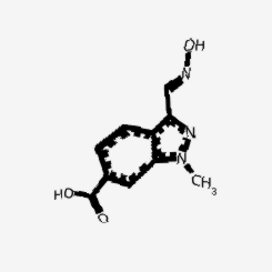 Cn1nc(/C=N/O)c2ccc(C(=O)O)cc21